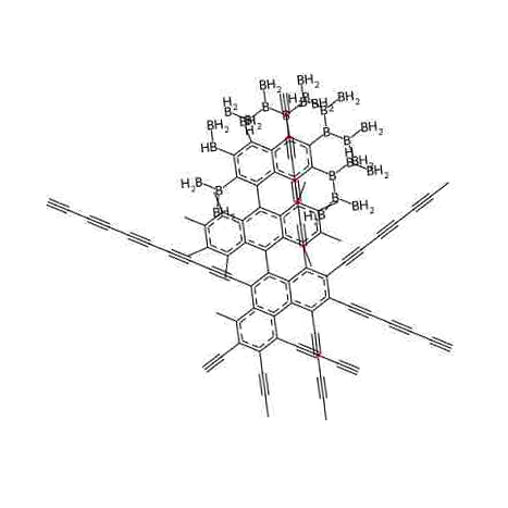 BBB(B)B(B(B)B)c1c(B(B(B)B)B(B)B)c(B(BB)B(B)B)c(C)c2c(-c3c4c(C)c(C)c(C)c(C)c4c(-c4c(C#CC#CC#CC#CC#C)c5c(C)c(C#C)c(C#CC)c(C#CC#C)c5c5c(C#CC#CC)c(C#CC#CC#C)c(C#CC#CC#CC)c(C#CC#CC#CC#C)c45)c4c(C)c(C)c(C)c(C)c34)c(B(B)B)c(BB)c(B)c12